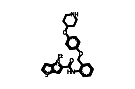 CCn1c(C(=O)Nc2ccccc2COc2ccc(OC3CCNCC3)cc2)cc2sccc21